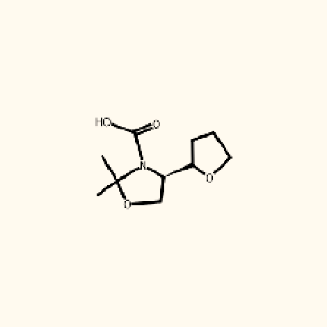 CC1(C)OC[C@H](C2CCCO2)N1C(=O)O